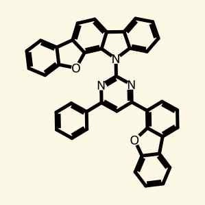 c1ccc(-c2cc(-c3cccc4c3oc3ccccc34)nc(-n3c4ccccc4c4ccc5c6ccccc6oc5c43)n2)cc1